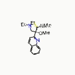 CCN(CC)CC(OC)(C(=S)NC)c1ccc2ccccc2n1